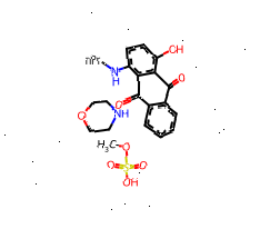 C1COCCN1.CCCNc1ccc(O)c2c1C(=O)c1ccccc1C2=O.COS(=O)(=O)O